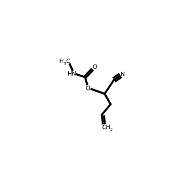 C=CCC(C#N)OC(=O)NC